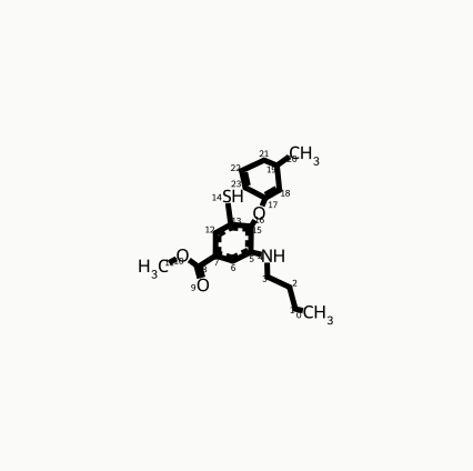 CCCCNc1cc(C(=O)OC)cc(S)c1OC1=CC(C)CC=C1